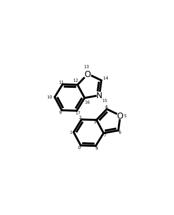 c1ccc2cocc2c1.c1ccc2ocnc2c1